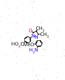 C=C1C(=O)N(c2ccc(C(=O)O)cc2)N=C1C.COc1ccccc1N